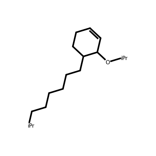 CC(C)CCCCCCC1CCC=CC1OC(C)C